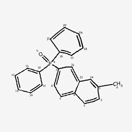 Cc1ccc2ccc(P(=O)(c3ccccc3)c3ccccc3)cc2c1